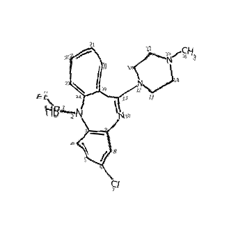 CCBN1c2ccc(Cl)cc2N=C(N2CCN(C)CC2)c2ccccc21